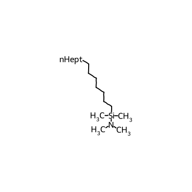 CCCCCCCCCCCCCC[Si](C)(C)N(C)C